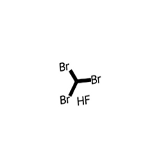 BrC(Br)Br.F